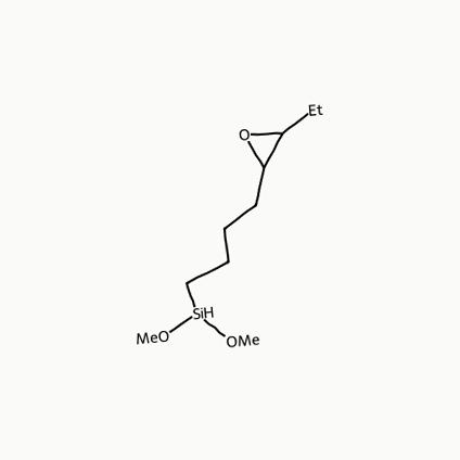 CCC1OC1CCCC[SiH](OC)OC